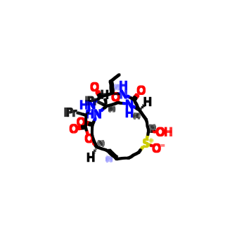 C/C=C1\NC(=O)[C@H]2C[C@@H](O)[S+]([O-])CC/C=C/[C@H](CC(=O)N[C@H](C(C)C)C(=O)N2)OC(=O)C(C(C)C)NC1=O